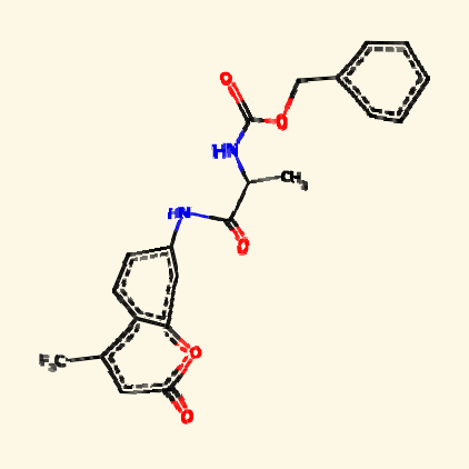 CC(NC(=O)OCc1ccccc1)C(=O)Nc1ccc2c(C(F)(F)F)cc(=O)oc2c1